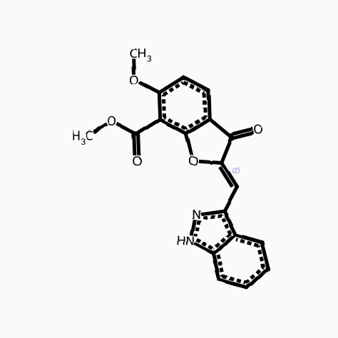 COC(=O)c1c(OC)ccc2c1O/C(=C\c1n[nH]c3ccccc13)C2=O